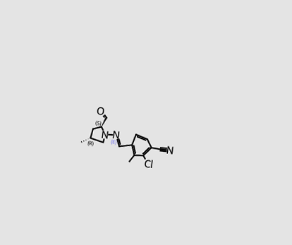 Cc1c(/C=N/N2C[C@H](C)C[C@H]2C=O)ccc(C#N)c1Cl